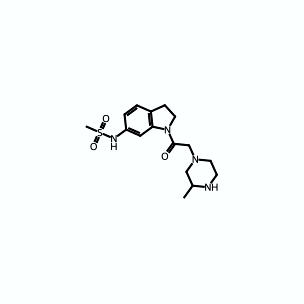 CC1CN(CC(=O)N2CCc3ccc(NS(C)(=O)=O)cc32)CCN1